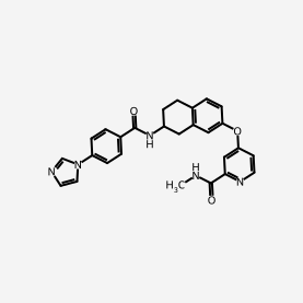 CNC(=O)c1cc(Oc2ccc3c(c2)CC(NC(=O)c2ccc(-n4ccnc4)cc2)CC3)ccn1